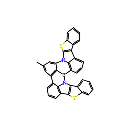 Cc1cc2c3c(c1)-n1c4sc5ccccc5c4c4cccc(c41)B3n1c3c-2cccc3c2sc3ccccc3c21